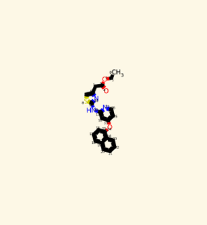 CCOC(=O)Cc1csc(Nc2cc(Oc3cccc4ccccc34)ccn2)n1